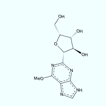 COc1nc([C@@H]2O[C@H](CO)[C@H](O)[C@H]2O)nc2[nH]cnc12